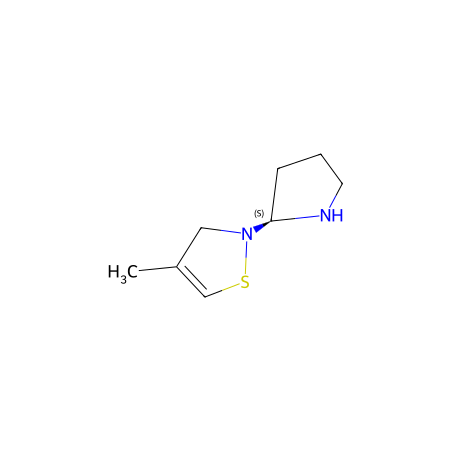 CC1=CSN([C@H]2CCCN2)C1